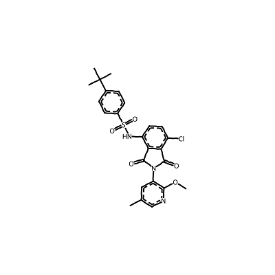 COc1ncc(C)cc1N1C(=O)c2c(Cl)ccc(NS(=O)(=O)c3ccc(C(C)(C)C)cc3)c2C1=O